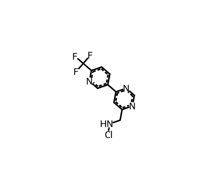 FC(F)(F)c1ccc(-c2cc(CNCl)ncn2)cn1